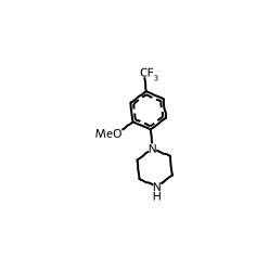 COc1cc(C(F)(F)F)ccc1N1CCNCC1